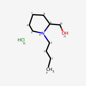 CCCCN1CCCCC1CO.Cl